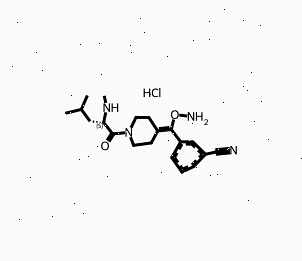 CN[C@@H](CC(C)C)C(=O)N1CCC(=C(ON)c2cccc(C#N)c2)CC1.Cl